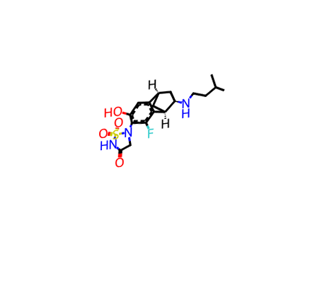 CC(C)CCN[C@@H]1C[C@H]2C[C@@H]1c1c2cc(O)c(N2CC(=O)NS2(=O)=O)c1F